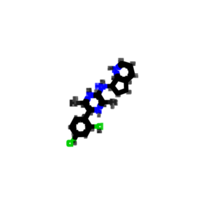 CCc1nc(-c2ccc(Cl)cc2Cl)c(CC)nc1NC1CCc2cccnc21